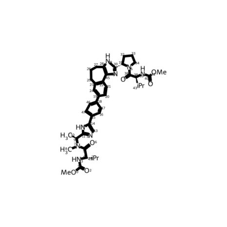 COC(=O)N[C@H](C(=O)N(C)[C@@H](C)c1ncc(-c2ccc(-c3ccc4c(c3)CCCc3[nH]c([C@@H]5CCCN5C(=O)[C@@H](NC(=O)OC)C(C)C)nc3-4)cc2)[nH]1)C(C)C